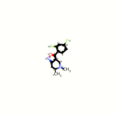 C[C@H]1Cc2noc(-c3ccc(F)cc3F)c2CN1C